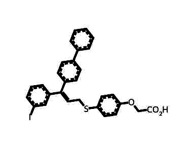 O=C(O)COc1ccc(SC/C=C(\c2ccc(-c3ccccc3)cc2)c2cccc(I)c2)cc1